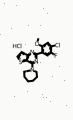 COc1cc(Cl)c(F)cc1-c1nc(N2CCCCCC2)c2sccc2n1.Cl